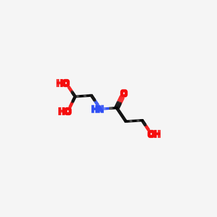 O=C(CCO)NCC(O)O